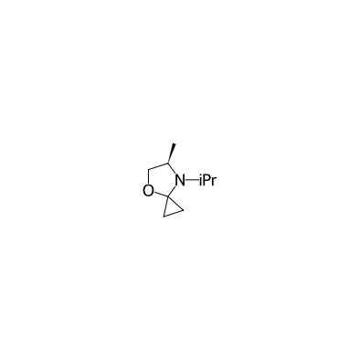 CC(C)N1[C@H](C)COC12CC2